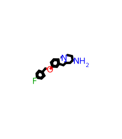 CN1CCC(N)CC1Cc1cccc(OCc2ccc(F)cc2)c1